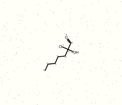 CCCCCC(O)(Cl)C=O